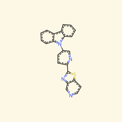 c1ccc2c(c1)c1ccccc1n2-c1ccc(-c2nc3cnccc3s2)nc1